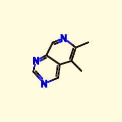 Cc1ncc2ncncc2c1C